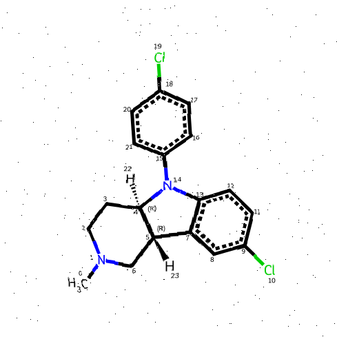 CN1CC[C@@H]2[C@@H](C1)c1cc(Cl)ccc1N2c1ccc(Cl)cc1